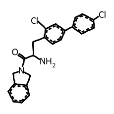 NC(Cc1ccc(-c2ccc(Cl)cc2)cc1Cl)C(=O)N1Cc2ccccc2C1